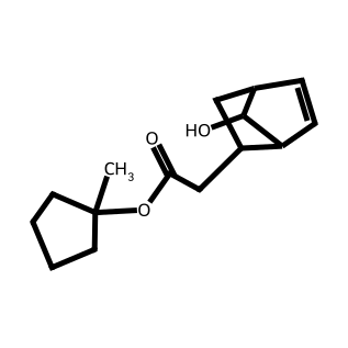 CC1(OC(=O)CC2CC3C=CC2C3O)CCCC1